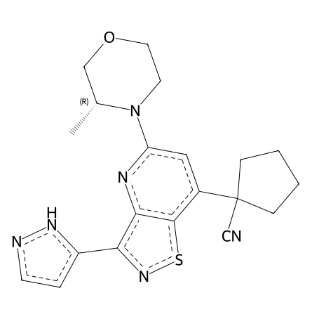 C[C@@H]1COCCN1c1cc(C2(C#N)CCCC2)c2snc(-c3ccn[nH]3)c2n1